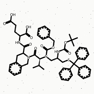 CC(C)[C@@H](C(=O)N1Cc2ccccc2CC1C(=O)NC(CCC(=O)O)C(=O)O)N(CC(CSC(c1ccccc1)(c1ccccc1)c1ccccc1)NC(=O)OC(C)(C)C)C(=O)OCc1ccccc1